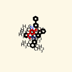 Cc1ccccc1-c1cc(-c2c(Nc3ccc4c(c3)C(C)(C)CCC4(C)C)ccc3c2C(C)(C)C2=C3CCC=C2)c(Bc2ccc(-c3ccccc3)cc2N(C)c2cc3c(cc2C)C(C)(C)CCC3(C)C)cc1C